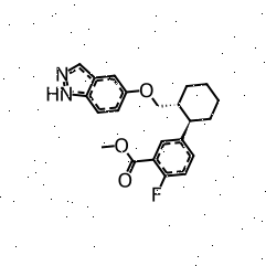 COC(=O)c1cc([C@@H]2CCCC[C@H]2COc2ccc3[nH]ncc3c2)ccc1F